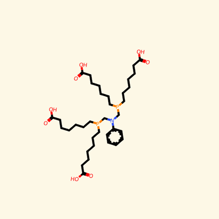 O=C(O)CCCCCCP(CCCCCCC(=O)O)CN(CP(CCCCCCC(=O)O)CCCCCCC(=O)O)c1ccccc1